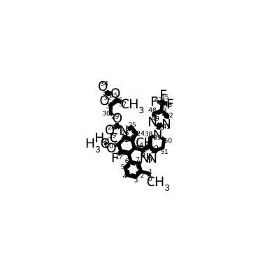 CCc1cccc2c1-n1nc3c(c1C1(C)C2=C(F)C(C)(OC)c2c1ccn2C(=O)OCc1oc(=O)oc1C)CN(c1ncc(C(F)(F)F)cn1)CC3